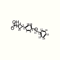 O=C(O)N1CC(c2ccc(OCc3ccccc3)cc2)C1